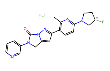 Cc1nc(N2CC[C@H](F)C2)ccc1-c1cc2n(n1)C(=O)N(c1cccnc1)C2.Cl